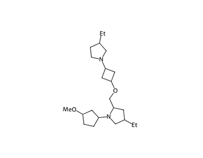 CCC1CCN(C2CC(OCC3CC(CC)CN3C3CCC(OC)C3)C2)C1